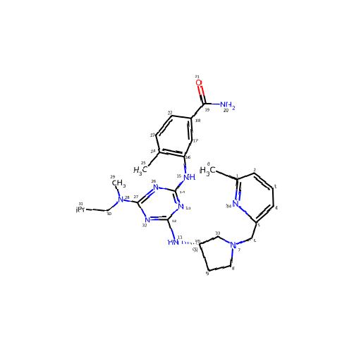 Cc1cccc(CN2CC[C@H](Nc3nc(Nc4cc(C(N)=O)ccc4C)nc(N(C)CC(C)C)n3)C2)n1